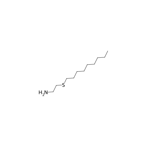 CCCCCCCCCSCCN